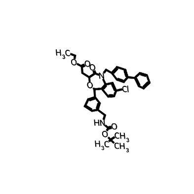 CCOC(=O)CC1OC(c2cccc(CNC(=O)OC(C)(C)C)c2)c2ccc(Cl)cc2N(Cc2ccc(-c3ccccc3)cc2)C1=O